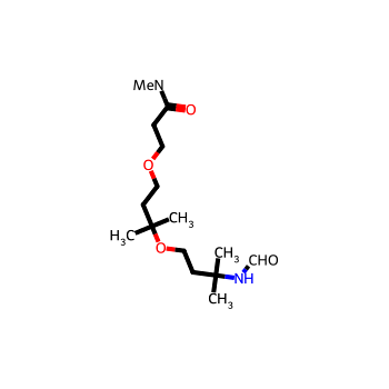 CNC(=O)CCOCCC(C)(C)OCCC(C)(C)NC=O